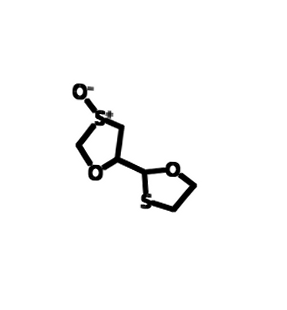 [O-][S+]1COC(C2OCCS2)C1